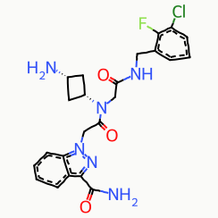 NC(=O)c1nn(CC(=O)N(CC(=O)NCc2cccc(Cl)c2F)[C@H]2C[C@@H](N)C2)c2ccccc12